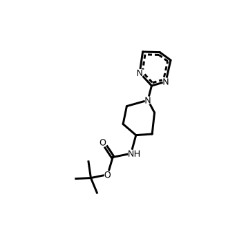 CC(C)(C)OC(=O)NC1CCN(c2ncccn2)CC1